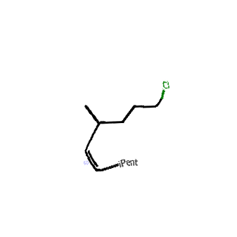 CCCC(C)/C=C\C(C)CCCCl